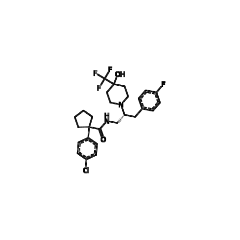 O=C(NC[C@@H](Cc1ccc(F)cc1)N1CCC(O)(C(F)(F)F)CC1)C1(c2ccc(Cl)cc2)CCCC1